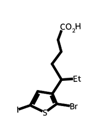 CCC(CCCC(=O)O)c1cc(I)sc1Br